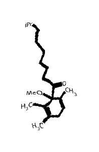 COC1(C(=O)CCCCCCC(C)C)C(C)=CCC(C)=C1C